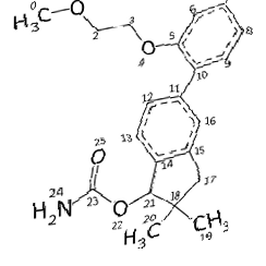 COCCOc1ccccc1-c1ccc2c(c1)CC(C)(C)C2OC(N)=O